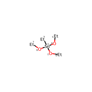 CC[O][Sn]([CH2]C)([O]CC)[O]CC